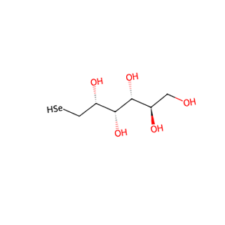 OC[C@@H](O)[C@@H](O)[C@H](O)[C@@H](O)C[SeH]